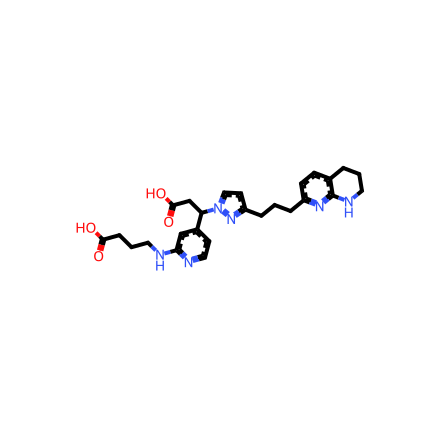 O=C(O)CCCNc1cc(C(CC(=O)O)n2ccc(CCCc3ccc4c(n3)NCCC4)n2)ccn1